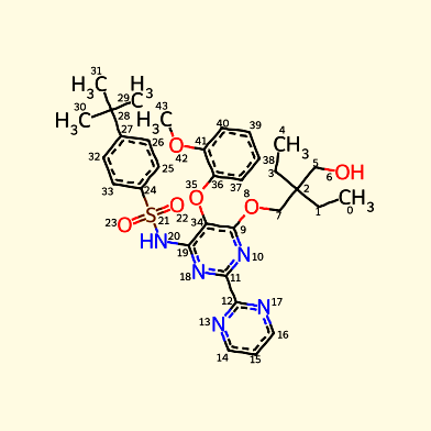 CCC(CC)(CO)COc1nc(-c2ncccn2)nc(NS(=O)(=O)c2ccc(C(C)(C)C)cc2)c1Oc1ccccc1OC